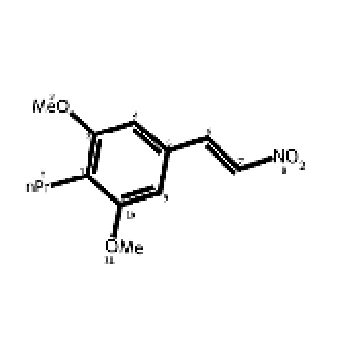 CCCc1c(OC)cc(C=C[N+](=O)[O-])cc1OC